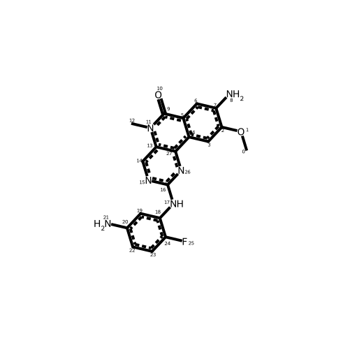 COc1cc2c(cc1N)c(=O)n(C)c1cnc(Nc3cc(N)ccc3F)nc21